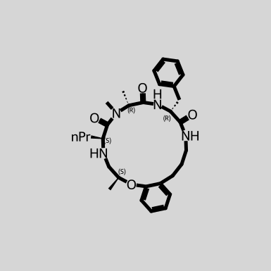 CCC[C@@H]1NC[C@H](C)Oc2ccccc2CCCNC(=O)[C@@H](Cc2ccccc2)NC(=O)[C@@H](C)N(C)C1=O